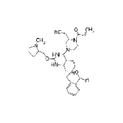 C=CC(=O)N1CCN(C2NC(OCC3CCCN3C)NC3C[C@@]4(CCC32)Cc2ccccc2C(Cl)O4)CC1CC#N